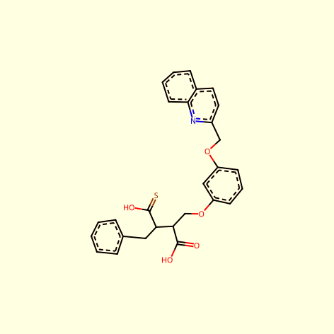 O=C(O)C(COc1cccc(OCc2ccc3ccccc3n2)c1)C(Cc1ccccc1)C(O)=S